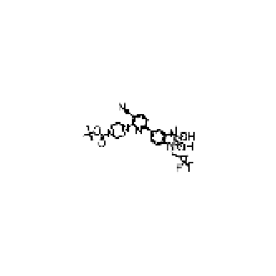 CN1c2cc(-c3ccc(C#N)c(N4CCN(C(=O)OC(C)(C)C)CC4)n3)ccc2N(CC2CC2(F)F)S1(O)O